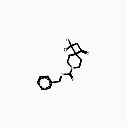 O=C(OCc1ccccc1)N1CCC2(CC1)C(=O)CC2(Cl)Cl